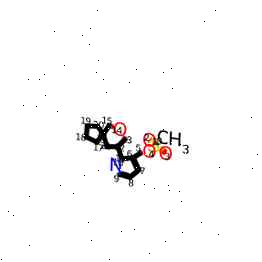 CS(=O)(=O)OCc1cccnc1C1COCC2(CCCC2)C1